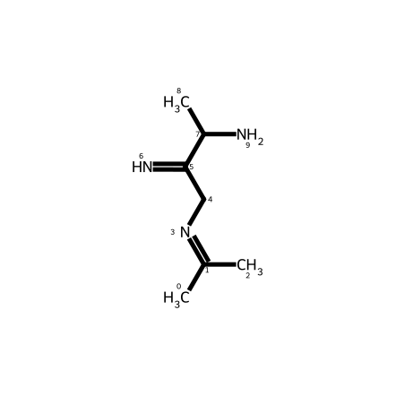 CC(C)=NCC(=N)C(C)N